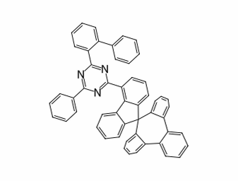 c1ccc(-c2nc(-c3ccccc3-c3ccccc3)nc(-c3cccc4c3-c3ccccc3C43c4ccccc4-c4ccccc4-c4ccccc43)n2)cc1